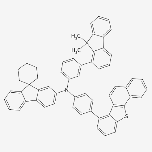 CC1(C)c2ccccc2-c2cccc(-c3cccc(N(c4ccc(-c5cccc6sc7c8ccccc8ccc7c56)cc4)c4ccc5c(c4)C4(CCCCC4)c4ccccc4-5)c3)c21